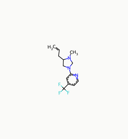 C=CCC1CN(c2cc(C(F)(F)F)ccn2)CN1C